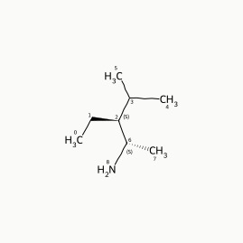 CC[C@@H](C(C)C)[C@H](C)N